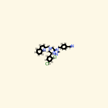 N#Cc1ccc(Cn2cnnc2CN(CCc2ccc(Cl)cc2Cl)Cc2ccc3ccccc3n2)cc1